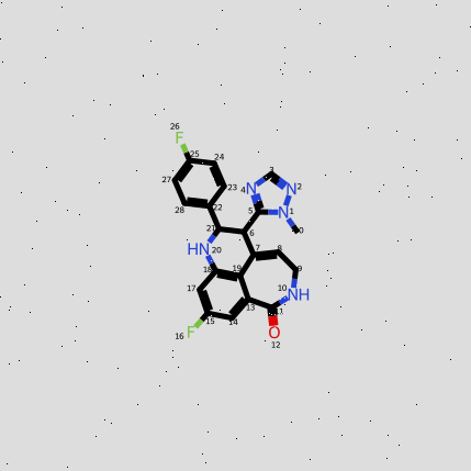 Cn1ncnc1C1C2=CCNC(=O)c3cc(F)cc(c32)NC1c1ccc(F)cc1